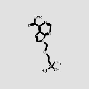 COC(=O)c1ncnc2c1ccn2COCC[Si](C)(C)C